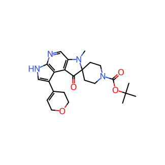 CN1c2cnc3[nH]cc(C4=CCOCC4)c3c2C(=O)C12CCN(C(=O)OC(C)(C)C)CC2